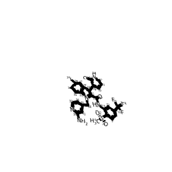 CS(=O)(=O)c1ccc(C(F)(F)F)cc1NC(=O)c1c(-c2ccc[nH]c2=O)c2cc(I)ccc2n1Cc1ccnc(N)c1